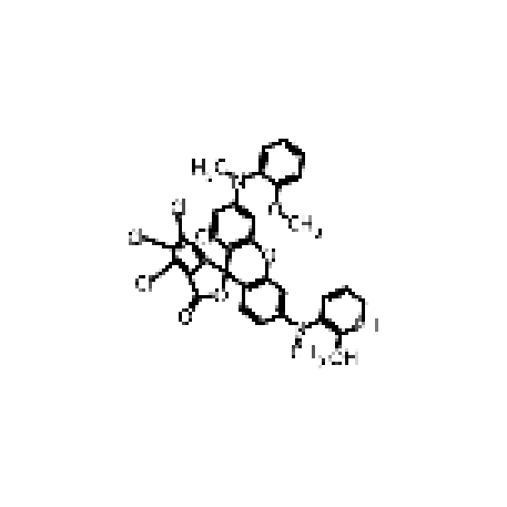 COc1ccccc1N(C)c1ccc2c(c1)Oc1cc(N(C)C3=C(O)PCC=C3)ccc1C21OC(=O)c2c(Cl)c(Cl)c(Cl)c(Cl)c21